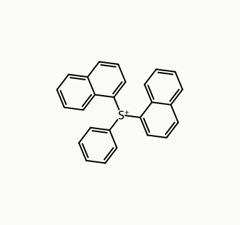 c1ccc([S+](c2cccc3ccccc23)c2cccc3ccccc23)cc1